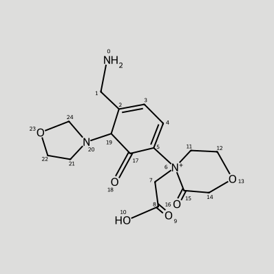 NCC1=CC=C([N+]2(CC(=O)O)CCOCC2=O)C(=O)C1N1CCOC1